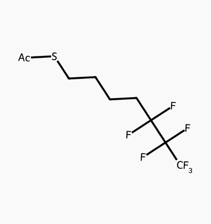 CC(=O)SCCCCC(F)(F)C(F)(F)C(F)(F)F